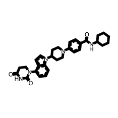 O=C1CCN(c2cccc3c2ccn3C2CCN(c3ccc(C(=O)NC4CCCCC4)cc3)CC2)C(=O)N1